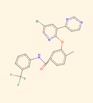 Cc1ccc(C(=O)Nc2cccc(C(F)(F)F)c2)cc1Oc1ncc(Br)cc1-c1ccncn1